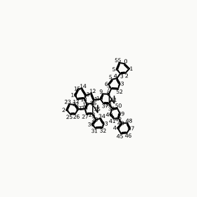 c1ccc(-c2ccc(-c3cc(-c4cc5ccccc5c5c(-c6ccccc6)cc(-c6ccccc6)nc45)cc(-c4ccc(-c5ccccc5)cc4)n3)cc2)cc1